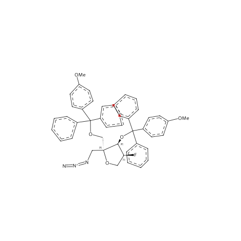 COc1ccc(C(OC[C@@]2(CN=[N+]=[N-])OC[C@H](F)[C@@H]2OC(c2ccccc2)(c2ccccc2)c2ccc(OC)cc2)(c2ccccc2)c2ccccc2)cc1